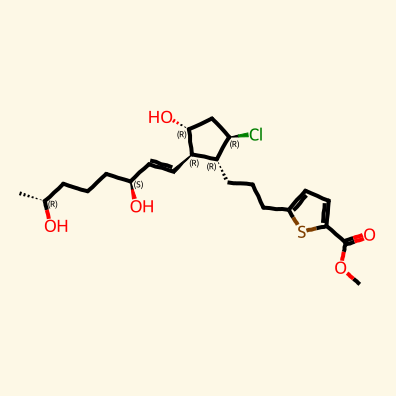 COC(=O)c1ccc(CCC[C@@H]2[C@@H](C=C[C@@H](O)CCC[C@@H](C)O)[C@H](O)C[C@H]2Cl)s1